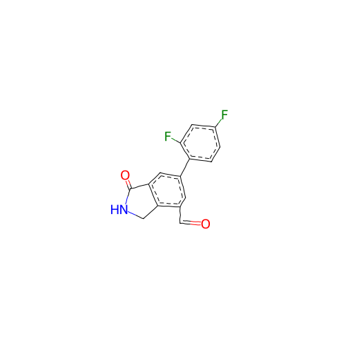 O=Cc1cc(-c2ccc(F)cc2F)cc2c1CNC2=O